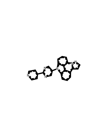 c1cc2c3c4c(cccc4n4nccc24)n(-c2cnc(-c4ccncc4)nc2)c3c1